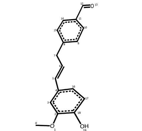 COc1cc(/C=C/Cc2ccc(C=O)cc2)ccc1O